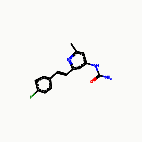 Cc1cc(NC(N)=O)cc(/C=C/c2ccc(F)cc2)n1